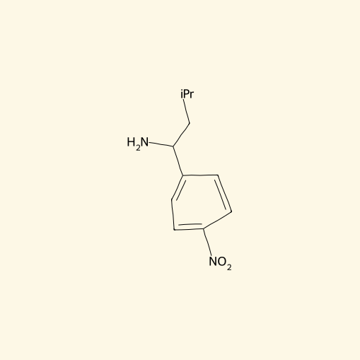 CC(C)CC(N)c1ccc([N+](=O)[O-])cc1